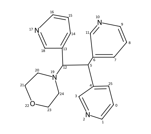 c1cncc(C(c2cccnc2)C(c2cccnc2)N2CCOCC2)c1